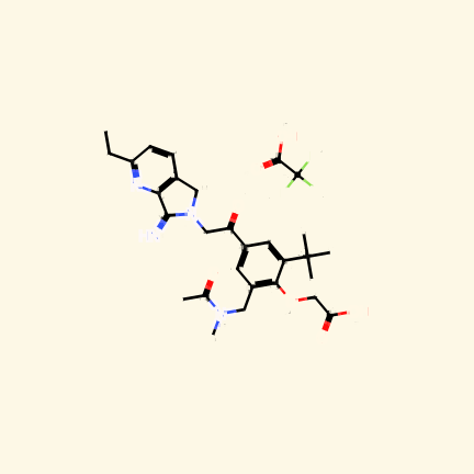 CCc1ccc2c(n1)C(=N)N(CC(=O)c1cc(CN(C)C(C)=O)c(OCC(=O)O)c(C(C)(C)C)c1)C2.O=C(O)C(F)(F)F